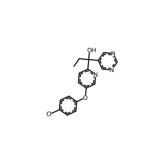 CCC(O)(c1cncnc1)c1ccc(Oc2ccc(Cl)cc2)cn1